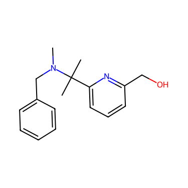 CN(Cc1ccccc1)C(C)(C)c1cccc(CO)n1